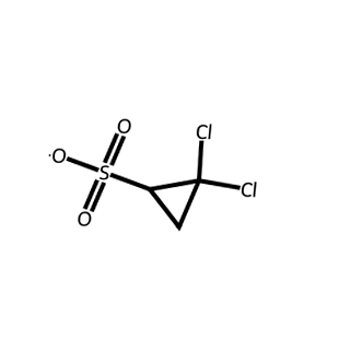 [O]S(=O)(=O)C1CC1(Cl)Cl